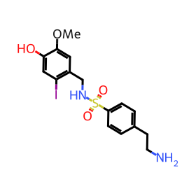 COc1cc(CNS(=O)(=O)c2ccc(CCN)cc2)c(I)cc1O